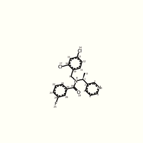 C[C@@H](c1cccnc1)N(Cc1ccc(Cl)cc1Cl)C(=O)c1cccc(F)c1